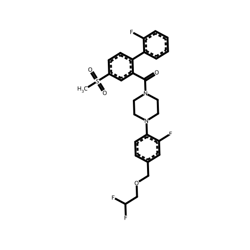 CS(=O)(=O)c1ccc(-c2ccccc2F)c(C(=O)N2CCN(c3ccc(COCC(F)F)cc3F)CC2)c1